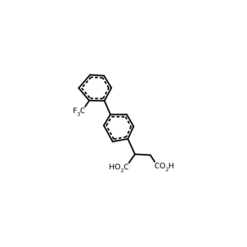 O=C(O)CC(C(=O)O)c1ccc(-c2ccccc2C(F)(F)F)cc1